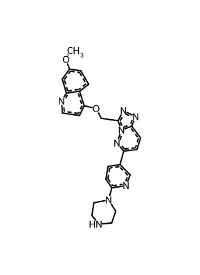 COc1ccc2c(OCc3nnc4ccc(-c5ccc(N6CCNCC6)nc5)nn34)ccnc2c1